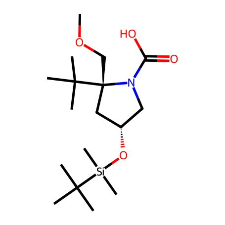 COC[C@]1(C(C)(C)C)C[C@@H](O[Si](C)(C)C(C)(C)C)CN1C(=O)O